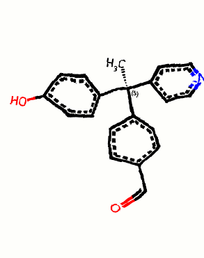 C[C@@](c1ccncc1)(c1ccc(O)cc1)c1ccc(C=O)cc1